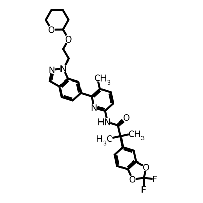 Cc1ccc(NC(=O)C(C)(C)c2ccc3c(c2)OC(F)(F)O3)nc1-c1ccc2cnn(CCOC3CCCCO3)c2c1